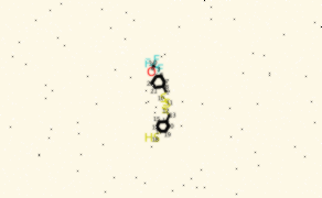 FC(F)(F)Oc1ccc(CSSSCc2ccc(S)cc2)cc1